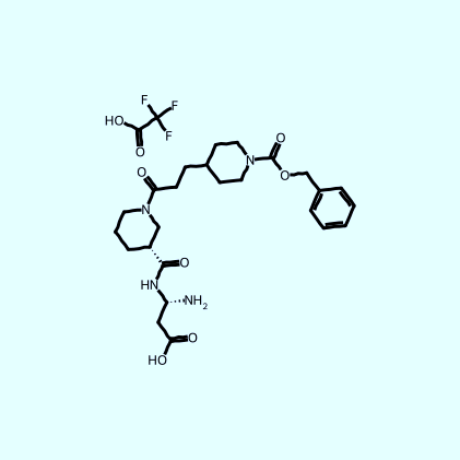 N[C@H](CC(=O)O)NC(=O)[C@@H]1CCCN(C(=O)CCC2CCN(C(=O)OCc3ccccc3)CC2)C1.O=C(O)C(F)(F)F